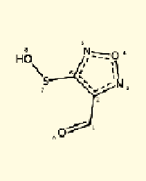 O=Cc1nonc1SO